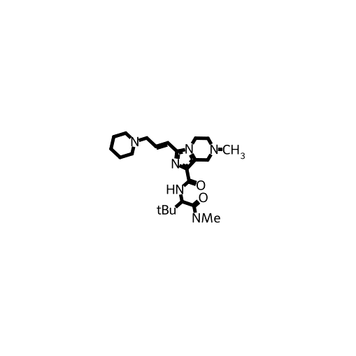 CNC(=O)C(NC(=O)c1nc(C=CCN2CCCCC2)n2c1CN(C)CC2)C(C)(C)C